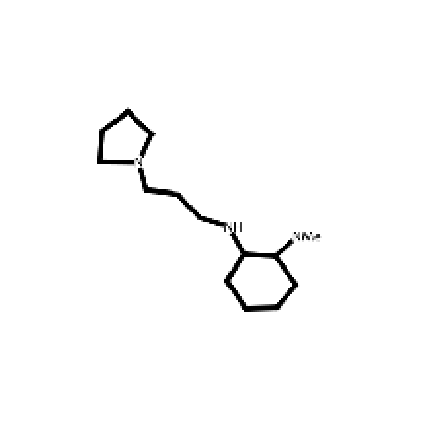 CNC1CCCCC1NCCCN1CCCC1